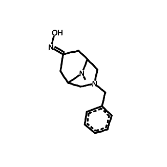 CN1C2CC(=NO)CC1CN(Cc1ccccc1)C2